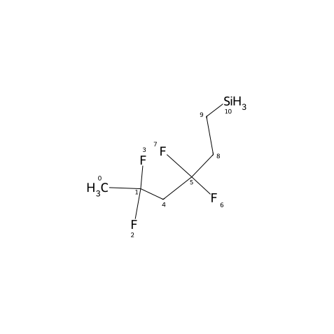 CC(F)(F)CC(F)(F)CC[SiH3]